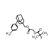 Cc1ccc(C23CC4CC(CC(COC(=O)COC(=O)C(C)(C)F)(C4)C2)C3)cc1